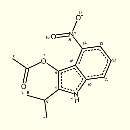 CC(=O)Oc1c(C(C)C)[nH]c2cccc([N+](=O)[O-])c12